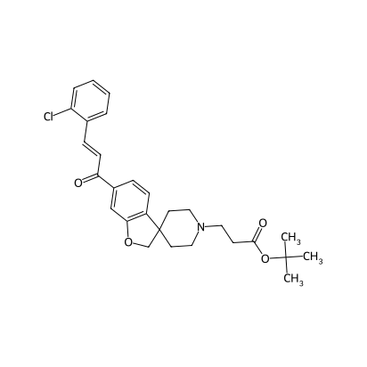 CC(C)(C)OC(=O)CCN1CCC2(CC1)COc1cc(C(=O)/C=C/c3ccccc3Cl)ccc12